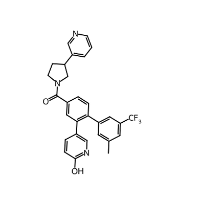 Cc1cc(-c2ccc(C(=O)N3CCC(c4cccnc4)C3)cc2-c2ccc(O)nc2)cc(C(F)(F)F)c1